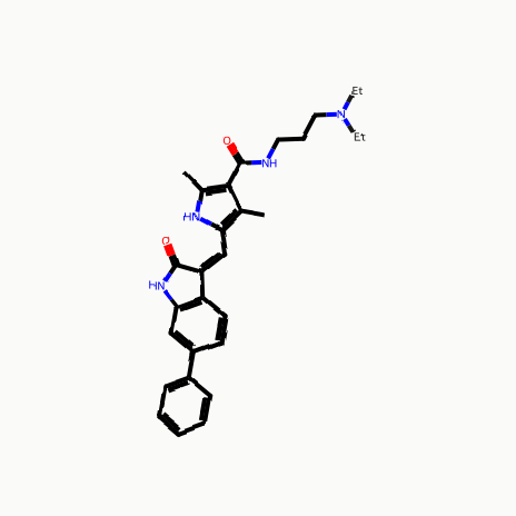 CCN(CC)CCCNC(=O)c1c(C)[nH]c(C=C2C(=O)Nc3cc(-c4ccccc4)ccc32)c1C